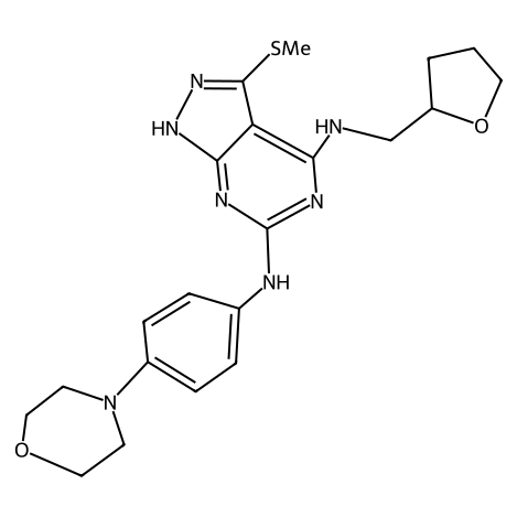 CSc1n[nH]c2nc(Nc3ccc(N4CCOCC4)cc3)nc(NCC3CCCO3)c12